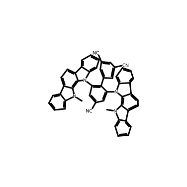 Cn1c2ccccc2c2ccc3c4ccccc4n(-c4cc(C#N)cc(-n5c6ccccc6c6ccc7c8ccccc8n(C)c7c65)c4-c4cc(C#N)cc(C#N)c4)c3c21